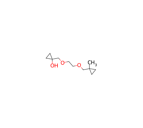 CC1(COCCOCC2(O)CC2)CC1